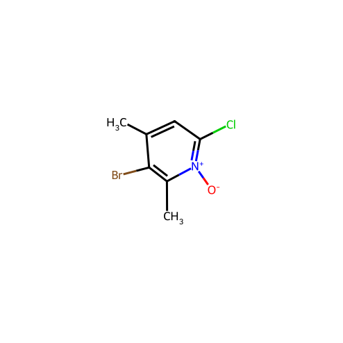 Cc1cc(Cl)[n+]([O-])c(C)c1Br